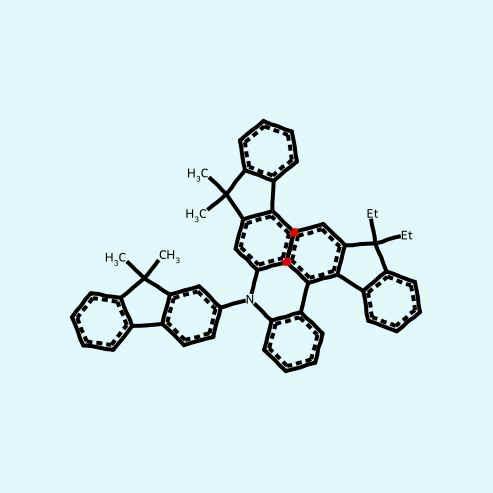 CCC1(CC)c2ccccc2-c2c(-c3ccccc3N(c3ccc4c(c3)C(C)(C)c3ccccc3-4)c3ccc4c(c3)C(C)(C)c3ccccc3-4)cccc21